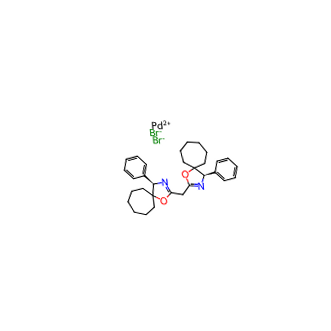 [Br-].[Br-].[Pd+2].c1ccc([C@H]2N=C(CC3=N[C@H](c4ccccc4)C4(CCCCCC4)O3)OC23CCCCCC3)cc1